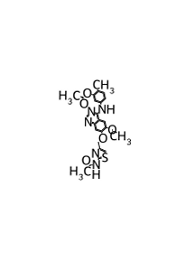 COc1cc2c(Nc3ccc(C)c(OC(C)=O)c3)ncnc2cc1OCc1csc(NC(C)=O)n1